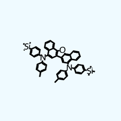 Cc1ccc(N(c2ccc([Si](C)(C)C)cc2)c2cc3c4cc(N(c5ccc(C)cc5)c5ccc([Si](C)(C)C)cc5)c5ccccc5c4oc3c3ccccc23)cc1